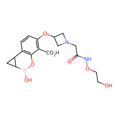 O=C(CN1CC(Oc2ccc3c(c2C(=O)O)OB(O)C2CC32)C1)NOCCO